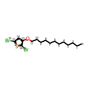 CCCCCCCCCCCCOc1cc(Br)sc1Br